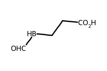 O=CBCCC(=O)O